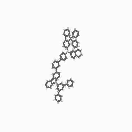 C1=Cc2cc(N(c3ccc(-c4cccc(-c5ccc6c(c5)c5ccccc5n6-c5cc(-c6ccccc6)cc(-c6ccccc6)c5)c4)cc3)c3ccc4c(c3)C(c3ccccc3)(c3ccccc3)c3ccccc3-4)ccc2CC1